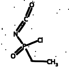 CCP(=O)(Cl)N=C=O